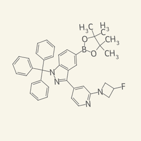 CC1(C)OB(c2ccc3c(c2)c(-c2ccnc(N4CC(F)C4)c2)nn3C(c2ccccc2)(c2ccccc2)c2ccccc2)OC1(C)C